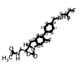 CC(=O)NC[C@@H]1OC(=O)N2c3cc(F)c(-c4ccc(CNCC(F)CF)cc4)cc3C[C@@H]12